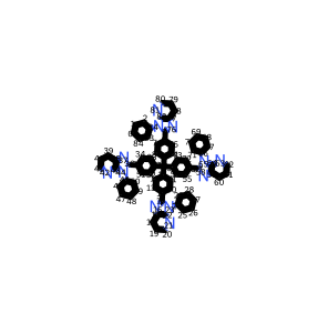 c1ccc(-n2c(-c3ccc(C(c4ccc(-c5nc6cccnc6n5-c5ccccc5)cc4)(c4ccc(-c5nc6cccnc6n5-c5ccccc5)cc4)c4ccc(-c5nc6cccnc6n5-c5ccccc5)cc4)cc3)nc3cccnc32)cc1